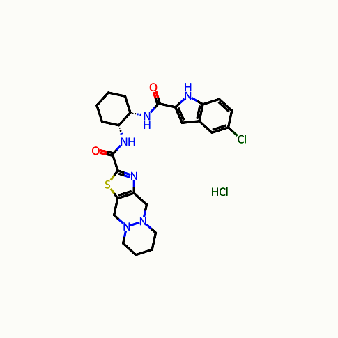 Cl.O=C(N[C@H]1CCCC[C@H]1NC(=O)c1nc2c(s1)CN1CCCCN1C2)c1cc2cc(Cl)ccc2[nH]1